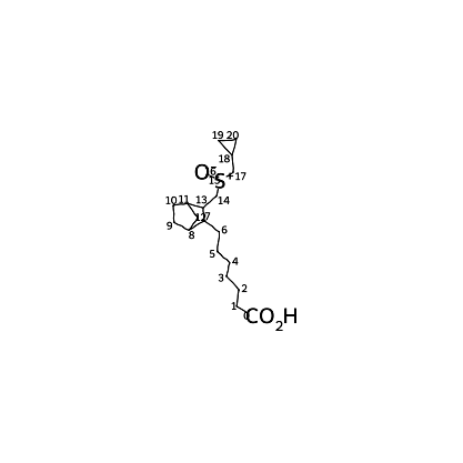 O=C(O)CCCCCCC1C2CCC(C2)C1C[S+]([O-])CC1CC1